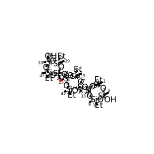 CC[Si]1(C)O[Si](C)(O)O[Si](C)(CC)O[Si](C)(O[Si]2(C)O[Si](C)(CC)O[Si](C)(O[Si]3(C)O[Si](C)(CC)O[Si](C)(O)O[Si](C)(CC)O3)O[Si](C)(CC)O2)O1